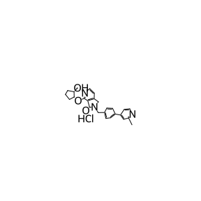 Cc1cc(-c2ccc(CN3Cc4ccnc(O[C@@H]5CCC[C@H]5O)c4C3=O)cc2)ccn1.Cl